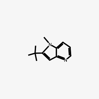 Cn1c(C(C)(C)C)cc2ncccc21